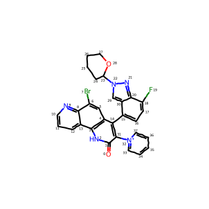 O=c1[nH]c2c(cc(Br)c3ncccc32)c(-c2ccc(F)c3nn(C4CCCCO4)cc23)c1-[n+]1ccccc1